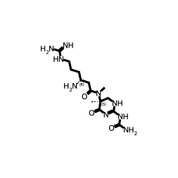 CN(C(=O)C[C@H](N)CCCNC(=N)N)[C@@]1(C)CNC(NC(N)=O)=NC1=O